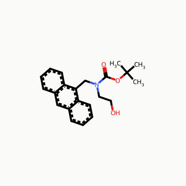 CC(C)(C)OC(=O)N(CCO)Cc1c2ccccc2cc2ccccc12